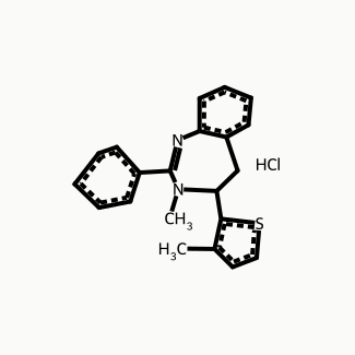 Cc1ccsc1C1Cc2ccccc2N=C(c2ccccc2)N1C.Cl